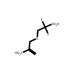 C=C(COCC(F)(F)S(=O)(=O)O)C(=O)O